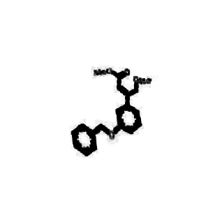 COCC(=CC(=O)OC)c1cccc(OCc2ccccc2)c1